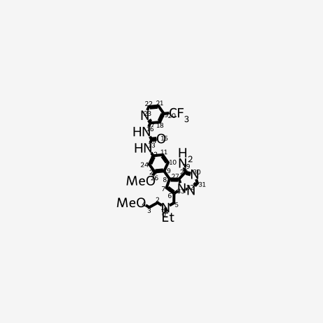 CCN(CCOC)Cc1cc(-c2ccc(NC(=O)Nc3cc(C(F)(F)F)ccn3)cc2OC)c2c(N)ncnn12